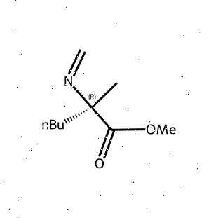 C=N[C@](C)(CCCC)C(=O)OC